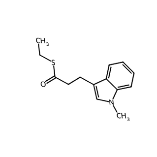 CCSC(=O)CCc1cn(C)c2ccccc12